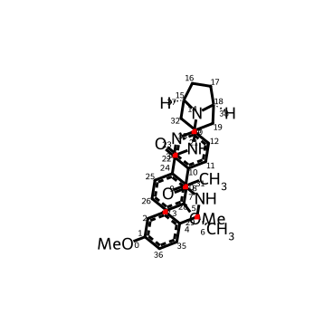 COc1ccc([C@@H](C)NC(=O)c2ccc(N3[C@@H]4CC[C@H]3C[C@@H](NC(=O)c3cccc(OC)c3C)C4)nc2)cc1